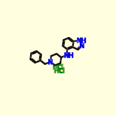 Cl.Cl.c1ccc(CN2CCC(Nc3cccc4[nH]ncc34)CC2)cc1